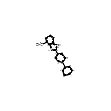 O=Cc1cccc2[nH]c(-c3ccc(-c4ccccc4)cc3)nc12